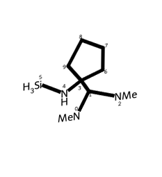 CNC(NC)C1(N[SiH3])CCCC1